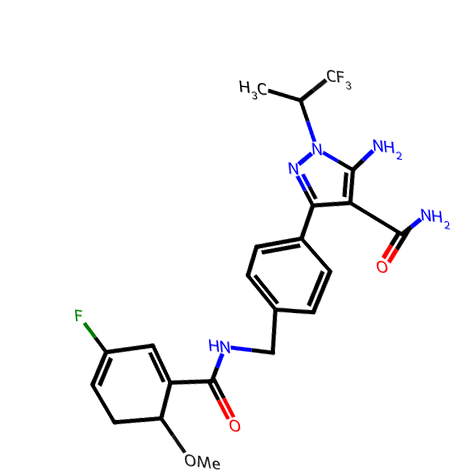 COC1CC=C(F)C=C1C(=O)NCc1ccc(-c2nn(C(C)C(F)(F)F)c(N)c2C(N)=O)cc1